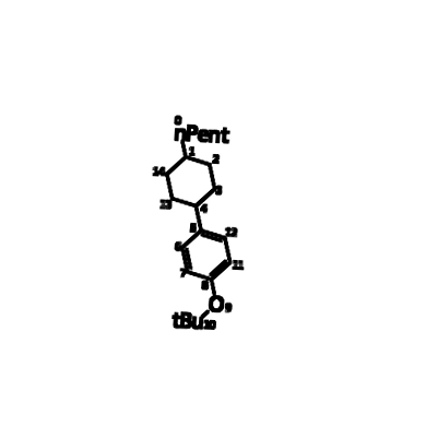 CCCCCC1CCC(c2ccc(OC(C)(C)C)cc2)CC1